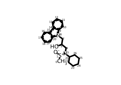 C[S+]([O-])N(CC(O)Cn1c2ccccc2c2ccccc21)C1CCCCC1